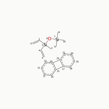 C=C[Si](C)(C=C)O[Si](C)(C)C.c1ccc2c(c1)-c1ccccc1-2